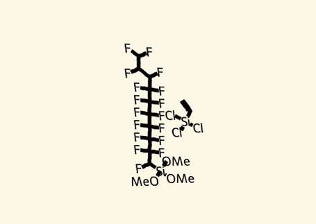 C=C[Si](Cl)(Cl)Cl.CO[Si](OC)(OC)C(F)C(F)(F)C(F)(F)C(F)(F)C(F)(F)C(F)(F)C(F)(F)C(F)C(F)C(F)F